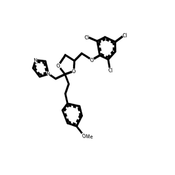 COc1ccc(CCC2(Cn3ccnc3)OCC(COc3c(Cl)cc(Cl)cc3Cl)O2)cc1